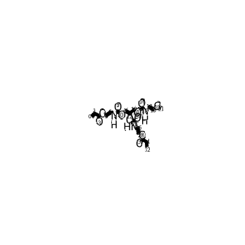 C=CC(=O)OCCNC(=O)OCC(COC(=O)NCCOC)OC(=O)NCCOC(=O)C=C